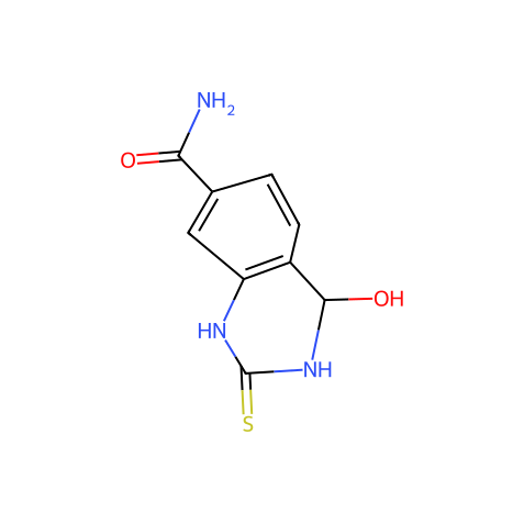 NC(=O)c1ccc2c(c1)NC(=S)NC2O